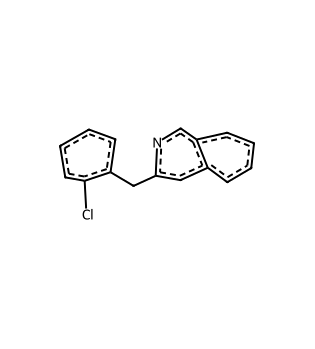 Clc1ccccc1Cc1cc2ccccc2cn1